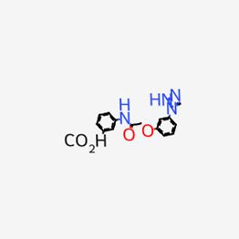 O=C(COc1cccc(-n2cn[nH]2)c1)Nc1cccc(C(=O)O)c1